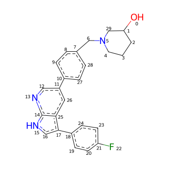 OC1CCCN(Cc2ccc(-c3cnc4[nH]cc(-c5ccc(F)cc5)c4c3)cc2)C1